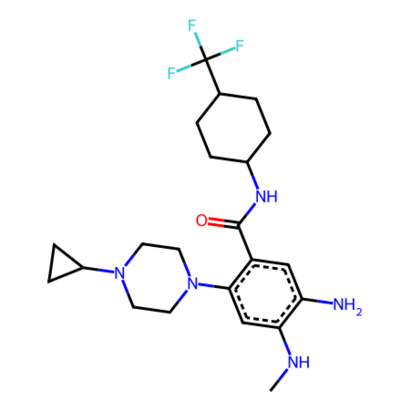 CNc1cc(N2CCN(C3CC3)CC2)c(C(=O)NC2CCC(C(F)(F)F)CC2)cc1N